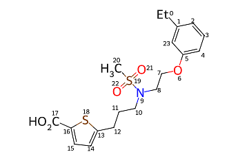 CCc1cccc(OCCN(CCCc2ccc(C(=O)O)s2)S(C)(=O)=O)c1